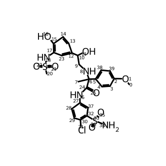 COc1ccc(C(C)(NCC(O)c2ccc(O)c(NS(C)(=O)=O)c2)C(=O)Nc2ccc(Cl)c(S(N)(=O)=O)c2)cc1